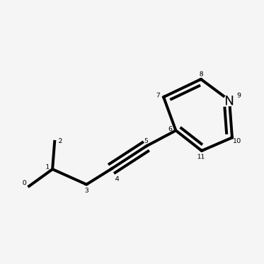 CC(C)CC#Cc1ccncc1